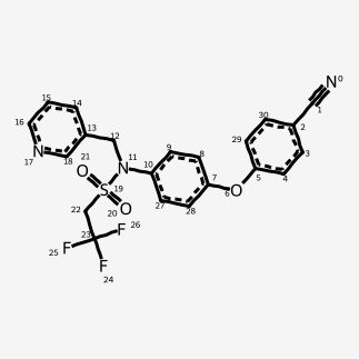 N#Cc1ccc(Oc2ccc(N(Cc3cccnc3)S(=O)(=O)CC(F)(F)F)cc2)cc1